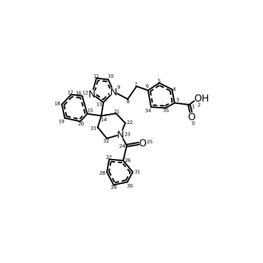 O=C(O)c1ccc(CCn2ccnc2C2(c3ccccc3)CCN(C(=O)c3ccccc3)CC2)cc1